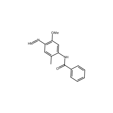 COc1cc(NC(=O)c2ccccc2)c(C)cc1N=N